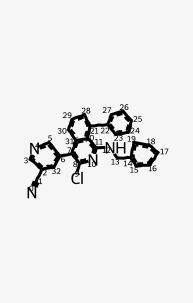 N#Cc1cncc(-c2c(Cl)nc(NCc3ccccc3)c3c(-c4ccccc4)cccc23)c1